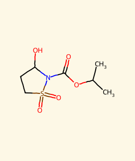 CC(C)OC(=O)N1C(O)CCS1(=O)=O